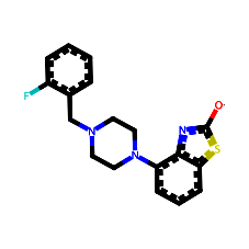 [O]c1nc2c(N3CCN(Cc4ccccc4F)CC3)cccc2s1